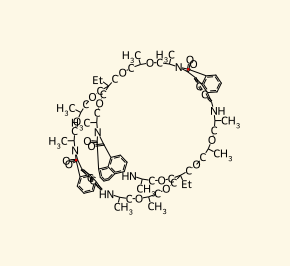 CCC12COCC(C)Nc3ccc4c5c(cccc35)C(=O)N(C4=O)C(C)COCC(CC)(COCC(C)OCC(C)N3C(=O)c4cccc5c(ccc(c45)C3=O)NC(C)COC(C)COC1)COCC(C)OCC(C)N1C(=O)c3cccc4c(ccc(c34)C1=O)NC(C)COC(C)COC2